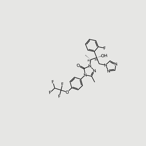 Cc1nn([C@H](C)[C@](O)(Cn2cncn2)c2ccccc2F)c(=O)n1-c1ccc(OC(F)(F)C(F)F)cc1